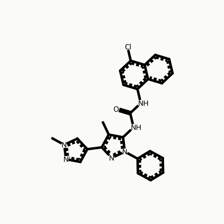 Cc1c(-c2cnn(C)c2)nn(-c2ccccc2)c1NC(=O)Nc1ccc(Cl)c2ccccc12